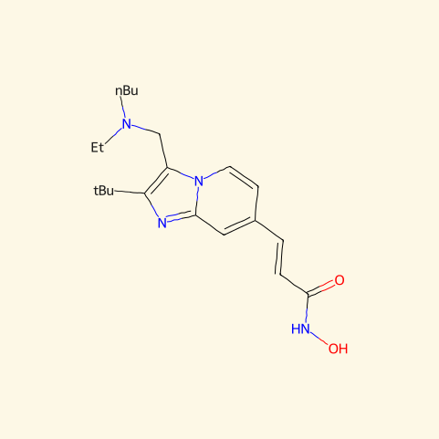 CCCCN(CC)Cc1c(C(C)(C)C)nc2cc(C=CC(=O)NO)ccn12